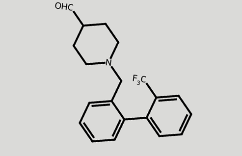 O=CC1CCN(Cc2ccccc2-c2ccccc2C(F)(F)F)CC1